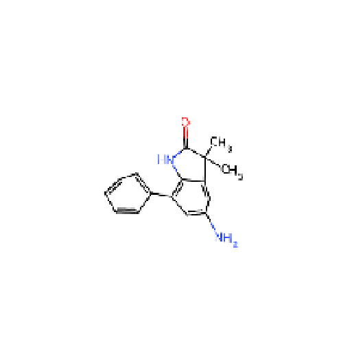 CC1(C)C(=O)Nc2c(-c3ccccc3)cc(N)cc21